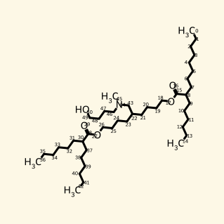 CCCCCCCCC(CCCCCC)C(=O)OCCCCC(CCCCOC(=O)C(CCCCCC)CCCCCC)CN(C)CCCCO